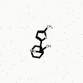 Cc1ccc(C2(O)CN3CCC2CC3)s1